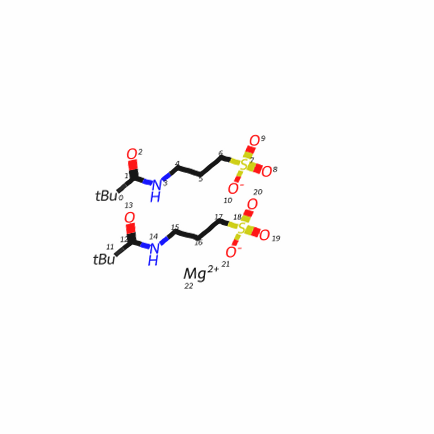 CC(C)(C)C(=O)NCCCS(=O)(=O)[O-].CC(C)(C)C(=O)NCCCS(=O)(=O)[O-].[Mg+2]